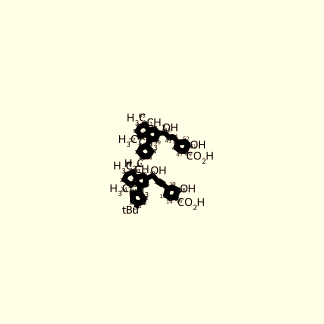 CC(C)(C)c1ccc(-c2cc(C(O)C#Cc3ccc(C(=O)O)c(O)c3)cc3c2C(C)(C)CCC3(C)C)cc1.Cc1ccc(-c2cc(C(O)C=Cc3ccc(C(=O)O)c(O)c3)cc3c2C(C)(C)CCC3(C)C)cc1